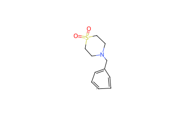 O=S1(=O)CCN(Cc2cc[c]cc2)CC1